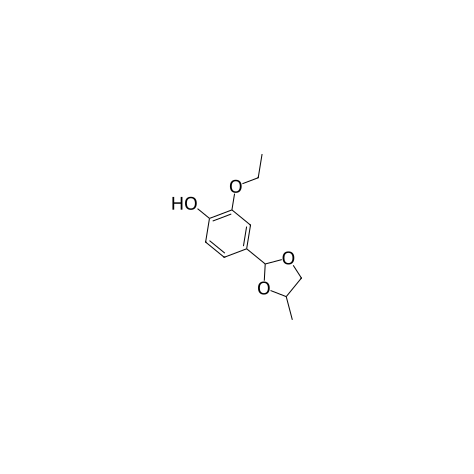 CCOc1cc(C2OCC(C)O2)ccc1O